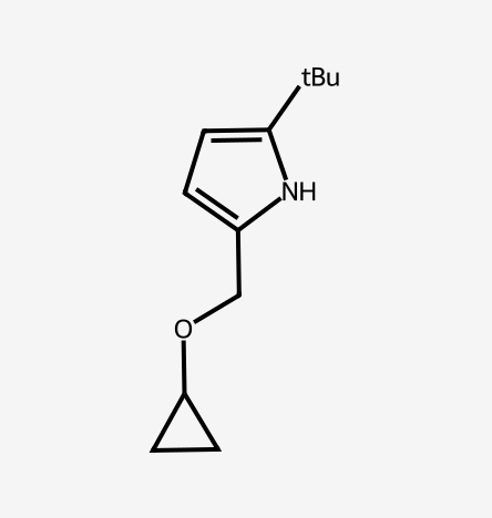 CC(C)(C)c1ccc(COC2CC2)[nH]1